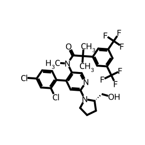 CN(C(=O)C(C)(C)c1cc(C(F)(F)F)cc(C(F)(F)F)c1)c1cnc(N2CCC[C@H]2CO)cc1-c1ccc(Cl)cc1Cl